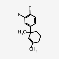 CC1=C[C@](C)(c2ccc(F)c(F)c2)CCC1